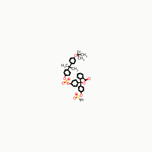 CCC(C)(C)Oc1ccc(C(C)(C)c2ccc(OS(=O)(=O)Oc3ccc(C4(c5ccc(OS(=O)(=O)C(C)C)cc5)OC(=O)c5ccccc54)cc3)cc2)cc1